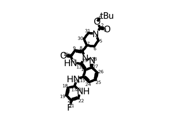 CC(C)(C)OC(=O)N1CCC(c2cc(=O)[nH]c3c4c(NC5C=CC(F)=CN5)cccc4nn23)CC1